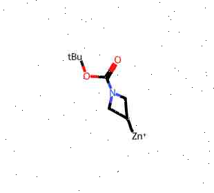 CC(C)(C)OC(=O)N1C[CH]([Zn+])C1